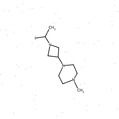 CC(I)N1CC(N2CCN(C)CC2)C1